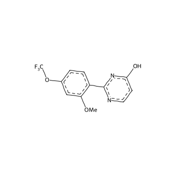 COc1cc(OC(F)(F)F)ccc1-c1nccc(O)n1